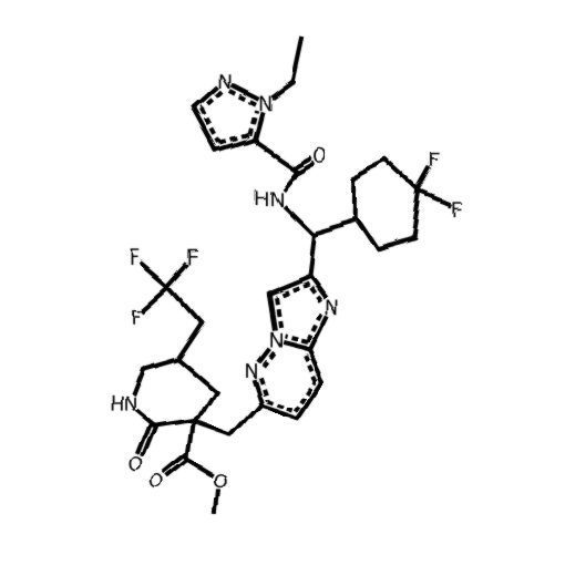 CCn1nccc1C(=O)NC(c1cn2nc(CC3(C(=O)OC)CC(CC(F)(F)F)CNC3=O)ccc2n1)C1CCC(F)(F)CC1